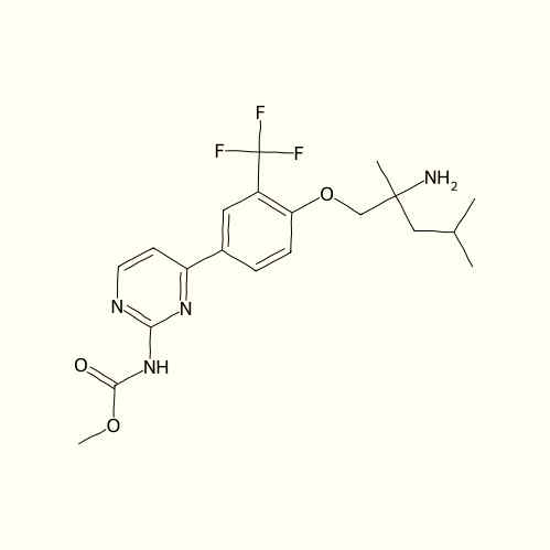 COC(=O)Nc1nccc(-c2ccc(OCC(C)(N)CC(C)C)c(C(F)(F)F)c2)n1